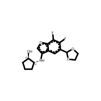 O[C@@H]1CCC[C@H]1Nc1coc2c(F)c(F)c(C3OCCO3)cc12